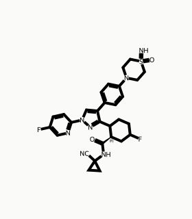 N#CC1(NC(=O)[C@@H]2CC(F)CCC2c2nn(-c3ccc(F)cn3)cc2-c2ccc(N3CCS(=N)(=O)CC3)cc2)CC1